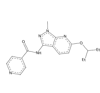 CCC(CC)Oc1ccc2c(NC(=O)c3ccncc3)nn(C)c2n1